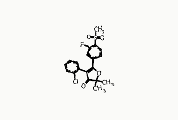 CC1(C)OC(c2ccc(S(C)(=O)=O)c(F)c2)=C(c2ccccc2Cl)C1=O